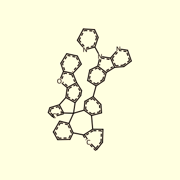 c1ccc(-n2c3ccc(-c4ccc5c(c4)C4(c6ccccc6-c6ccccc6-5)c5ccccc5-c5c4ccc4c5oc5ccccc54)cc3c3cccnc32)nc1